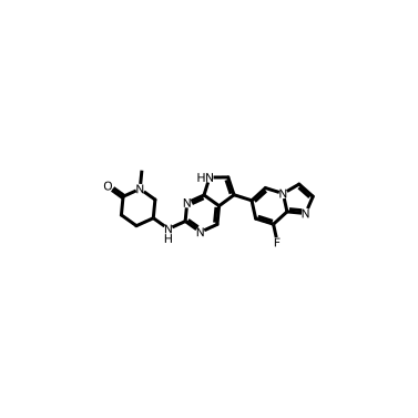 CN1CC(Nc2ncc3c(-c4cc(F)c5nccn5c4)c[nH]c3n2)CCC1=O